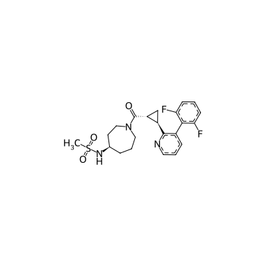 CS(=O)(=O)N[C@@H]1CCCN(C(=O)[C@@H]2C[C@H]2c2ncccc2-c2c(F)cccc2F)CC1